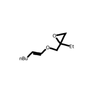 CCCCC=COCC1(CC)CO1